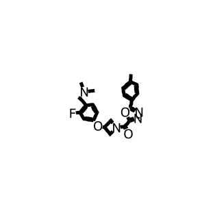 Cc1ccc(-c2nnc(C(=O)N3CC(Oc4ccc(CN(C)C)c(F)c4)C3)o2)cc1